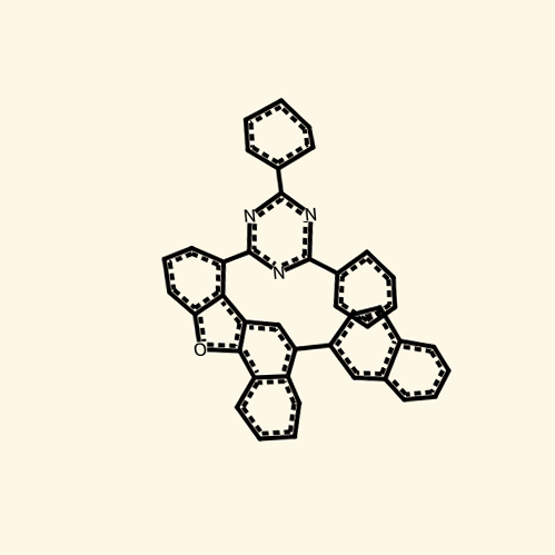 c1ccc(-c2nc(-c3ccccc3)nc(-c3cccc4oc5c6ccccc6c(-c6ccc7ccccc7c6)cc5c34)n2)cc1